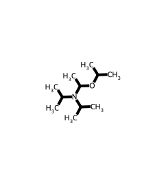 CC(C)OC(C)N(C(C)C)C(C)C